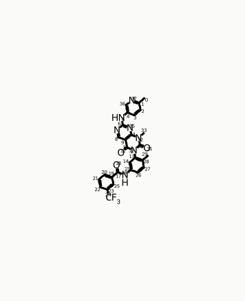 Cc1ccc(Nc2ncc3c(=O)n(-c4cc(NC(=O)c5cccc(C(F)(F)F)c5)ccc4C)c(=O)n(C)c3n2)cn1